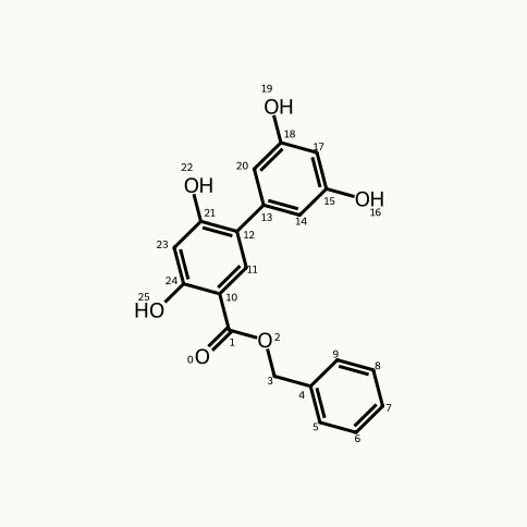 O=C(OCc1ccccc1)c1cc(-c2cc(O)cc(O)c2)c(O)cc1O